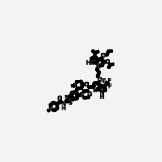 CCCOc1c(OC(C)C)c[n+](CCCOc2cc(COC3CCN(C)C(c4cc5nc(NC(=O)C6CCN(C)CC6)sc5cc4N4CCOCC4)C3)nc3[nH]cc(C(F)(F)F)c23)c2[nH]cc(C(C)C)c12